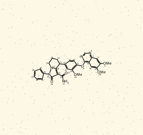 COc1cc2ncnc(Oc3ccc(C4CCCn5c4c(C(N)=O)c(=O)n5-c4ccccc4)cc3OC)c2cc1OC